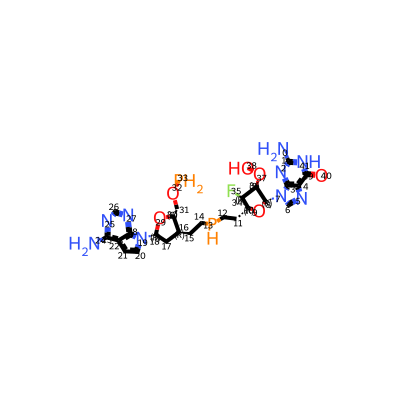 Nc1nc2c(ncn2[C@@H]2O[C@H](CCPCC[C@H]3C[C@H](n4ccc5c(N)ncnc54)O[C@@H]3COP)[C@@H](F)[C@H]2OO)c(=O)[nH]1